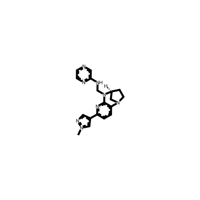 Cn1cc(-c2ccc3c(n2)N(CNc2cnccn2)[C@H]2CCN3C2)cn1